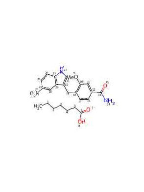 CCCCCCC(=O)O.COc1cc(C(N)=O)ccc1Cc1c[nH]c2ccc([N+](=O)[O-])cc12